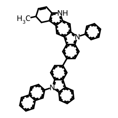 CC1C=Cc2[nH]c3cc4c(cc3c2C1)c1cc(-c2ccc3c(c2)c2ccccc2n3-c2ccc3ccccc3c2)ccc1n4-c1ccccc1